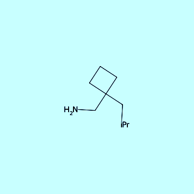 CC(C)CC1(CN)CCC1